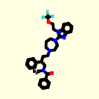 CN(CC(CCN1CCCN(c2nc3ccccc3n2CCOC(F)(F)F)CC1)c1ccccc1)C(=O)c1ccccc1